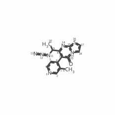 Cc1cnccc1-c1c(C(C)N=[N+]=[N-])nc2sccn2c1=O